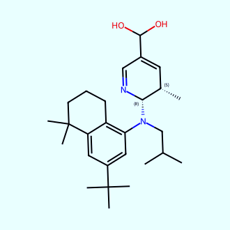 CC(C)CN(c1cc(C(C)(C)C)cc2c1CCCC2(C)C)[C@@H]1N=CC(C(O)O)=C[C@@H]1C